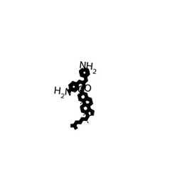 CC(C)CCC[C@@H](C)[C@H]1CCC2C3CC=C4CC(OC(=O)C(Cc5ccc(N)cc5)Cc5ccc(N)cc5)CC[C@]4(C)C3CC[C@@]21C